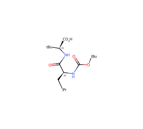 CC(C)C[C@H](NC(=O)OC(C)(C)C)C(=O)N[C@H](C(=O)O)C(C)(C)C